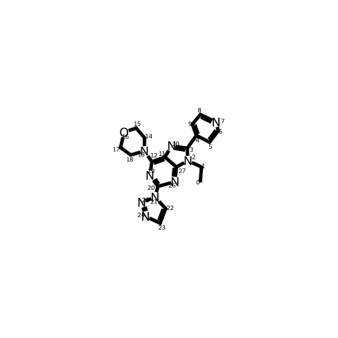 CCn1c(-c2ccncc2)nc2c(N3CCOCC3)nc(-n3ccnn3)nc21